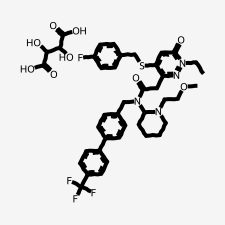 CCn1nc(CC(=O)N(Cc2ccc(-c3ccc(C(F)(F)F)cc3)cc2)C2CCCCN2CCOC)c(SCc2ccc(F)cc2)cc1=O.O=C(O)C(O)C(O)C(=O)O